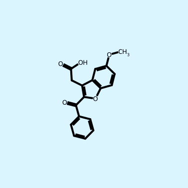 COc1ccc2oc(C(=O)c3ccccc3)c(CC(=O)O)c2c1